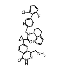 NCc1n[nH]c(=O)c2ccc(C3(C(=O)N(Cc4ccc(-c5c(F)cccc5Cl)cn4)C4CCCc5cccnc54)CC3)cc12